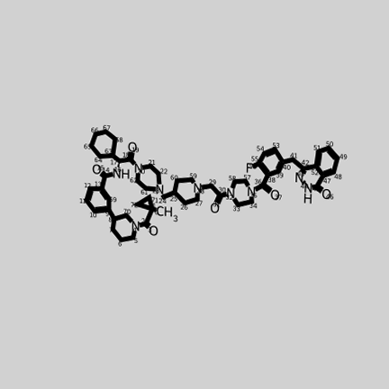 CC1(C(=O)N2CCCC(c3cccc(C(=O)N[C@@H](C(=O)N4CCN(CC5CCN(CC(=O)N6CCN(C(=O)c7cc(Cc8n[nH]c(=O)c9ccccc89)ccc7F)CC6)CC5)CC4)C4CCCCC4)c3)C2)CC1